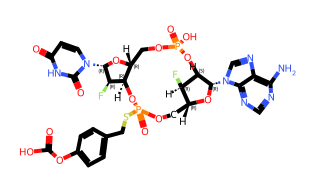 Nc1ncnc2c1ncn2[C@@H]1O[C@@H]2COP(=O)(SCc3ccc(OC(=O)O)cc3)O[C@H]3[C@@H](F)[C@H](n4ccc(=O)[nH]c4=O)O[C@@H]3COP(=O)(O)O[C@@H]1[C@@H]2F